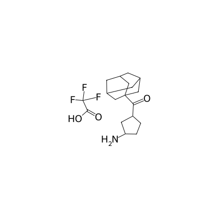 NC1CCC(C(=O)C23CC4CC(CC(C4)C2)C3)C1.O=C(O)C(F)(F)F